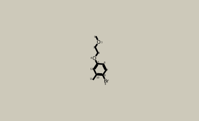 COCCOc1ccc(Br)c(C)c1